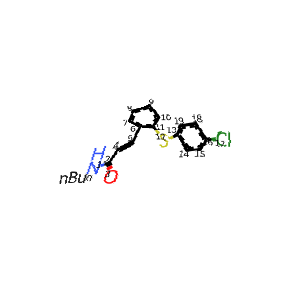 CCCCNC(=O)/C=C/c1ccccc1Sc1ccc(Cl)cc1